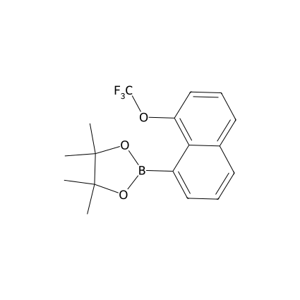 CC1(C)OB(c2cccc3cccc(OC(F)(F)F)c23)OC1(C)C